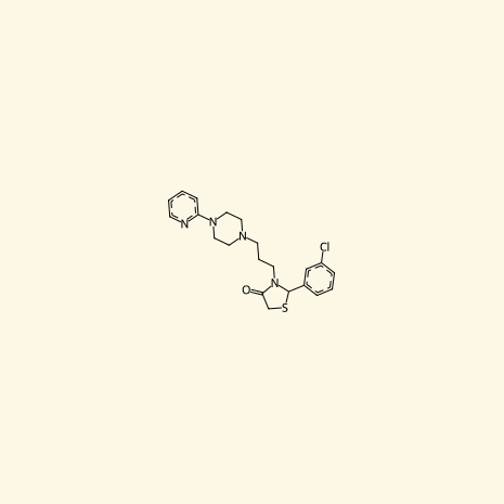 O=C1CSC(c2cccc(Cl)c2)N1CCCN1CCN(c2ccccn2)CC1